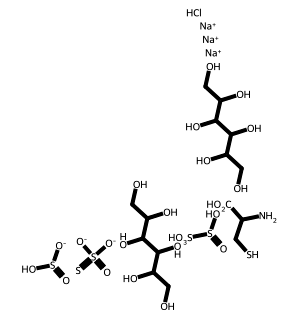 Cl.NC(CS)C(=O)O.O=S(O)S(=O)(=O)O.O=S([O-])([O-])=S.O=S([O-])O.OCC(O)C(O)C(O)C(O)CO.OCC(O)C(O)C(O)C(O)CO.[Na+].[Na+].[Na+]